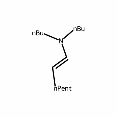 CCCCCC=CN(CCCC)CCCC